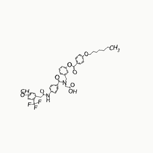 CCCCCCCOc1ccc(C(=O)Oc2cccc(CN(CC(=O)O)C(=O)c3ccc(NC(=O)Cc4ccc(OC)cc4C(F)(F)F)cc3)c2)cc1